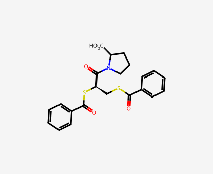 O=C(SC[C@@H](SC(=O)c1ccccc1)C(=O)N1CCCC1C(=O)O)c1ccccc1